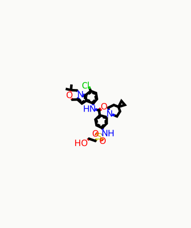 CC1(C)Cn2c(cc3c(NC(=O)c4ccc(NS(=O)(=O)CCO)cc4N4CCC5(CC4)CC5)ccc(Cl)c32)CO1